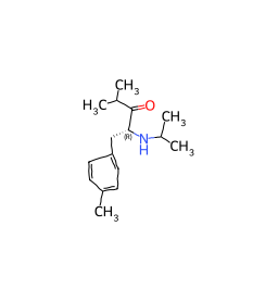 Cc1ccc(C[C@@H](NC(C)C)C(=O)C(C)C)cc1